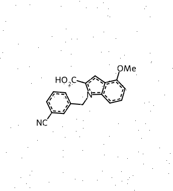 COc1cccc2c1cc(C(=O)O)n2Cc1cccc(C#N)c1